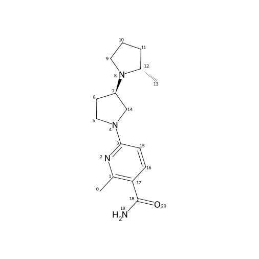 Cc1nc(N2CC[C@@H](N3CCC[C@@H]3C)C2)ccc1C(N)=O